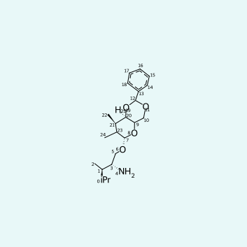 CC(C)[C@@H](C)[C@@H](N)CO[C@H]1OC2COC(c3ccccc3)O[C@@H]2[C@H](C)C1C